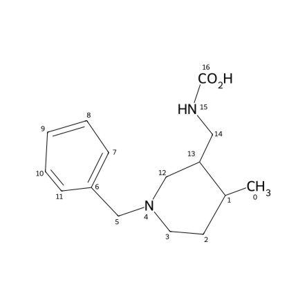 CC1CCN(Cc2ccccc2)CC1CNC(=O)O